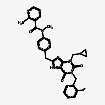 CN(C(=O)c1cccnc1N)c1ccc(Cc2nc3c([nH]2)c(=O)n(Cc2ccccc2F)c(=O)n3CC2CC2)cc1